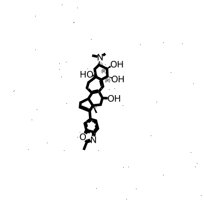 Cc1nc2ccc(C3=CCC4C5=C(C=C6[C@@H](O)[C@H](O)[C@@H](N(C)C)C[C@]6(O)CC5)C(O)C[C@]34C)cc2o1